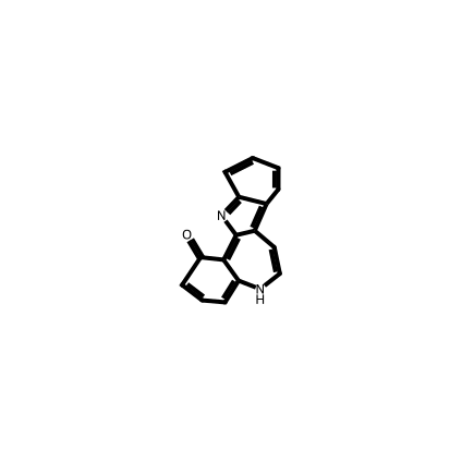 O=c1cccc2[nH]ccc3c4ccccc4nc-3c1-2